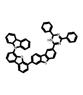 C1=CC2c3ccccc3N(c3cccc4c3oc3c(-c5ccc6c(c5)sc5ccc(C7=NC(c8ccccc8)=NC(c8ccccc8)N7)cc56)cccc34)C2C=C1